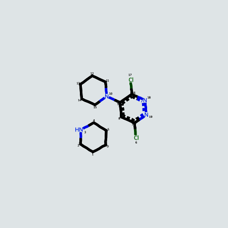 C1CCNCC1.Clc1cc(N2CCCCC2)c(Cl)nn1